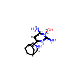 N=c1nc(C2CC3CCC2CNC3)cc(N)n1O